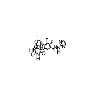 C/C(=N\Nc1ncccn1)c1cc2c(c(F)c1F)N1C[C@@H](C)O[C@@H](C)[C@@H]1C1(C2)C(=O)NC(=O)NC1=O